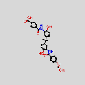 CC(C)(c1ccc(O)c(NC(=O)c2ccc(OCO)cc2)c1)c1ccc(O)c(NC(=O)c2ccc(C(=O)O)cc2)c1